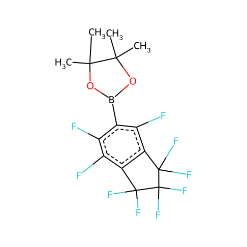 CC1(C)OB(c2c(F)c(F)c3c(c2F)C(F)(F)C(F)(F)C3(F)F)OC1(C)C